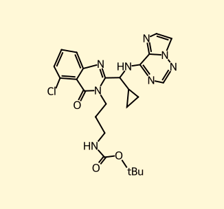 CC(C)(C)OC(=O)NCCCn1c(C(Nc2ncnn3ccnc23)C2CC2)nc2cccc(Cl)c2c1=O